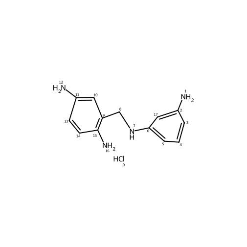 Cl.Nc1cccc(NCc2cc(N)ccc2N)c1